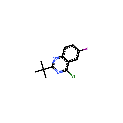 CC(C)(C)c1nc(Cl)c2cc(I)ccc2n1